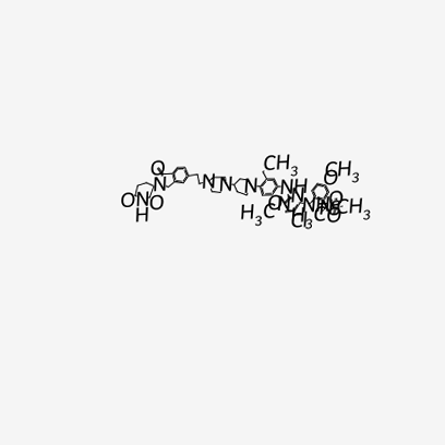 CCc1cc(Nc2ncc(Cl)c(Nc3ccc(OC)cc3N(C)S(C)(=O)=O)n2)c(OC)cc1N1CCC(N2CCN(CCc3ccc4c(c3)CN(C3CCC(=O)NC3=O)C4=O)CC2)CC1